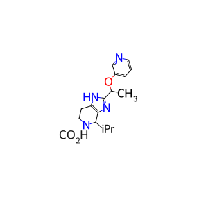 CC(Oc1cccnc1)c1nc2c([nH]1)CCN(C(=O)O)C2C(C)C